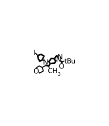 Cc1c(C2CCOCC2)n(-c2ccc(I)cc2)c2cc3cnn(C(=O)C(C)(C)C)c3cc12